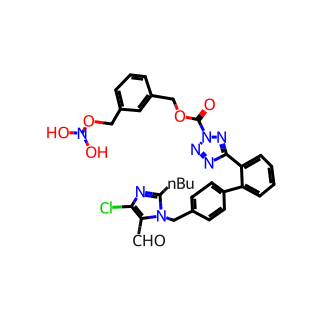 CCCCc1nc(Cl)c(C=O)n1Cc1ccc(-c2ccccc2-c2nnn(C(=O)OCc3cccc(CON(O)O)c3)n2)cc1